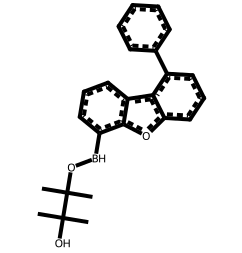 CC(C)(O)C(C)(C)OBc1cccc2c1oc1cccc(-c3ccccc3)c12